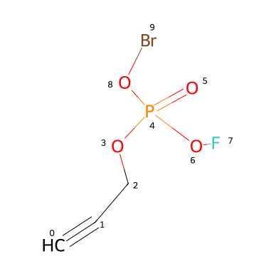 C#CCOP(=O)(OF)OBr